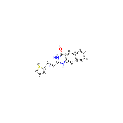 O=c1[nH]c(/C=C/c2cccs2)nc2cc3ccccc3cc12